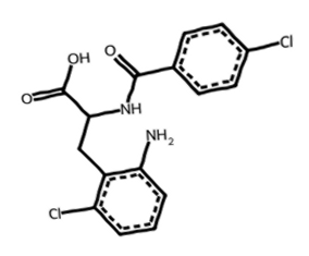 Nc1cccc(Cl)c1CC(NC(=O)c1ccc(Cl)cc1)C(=O)O